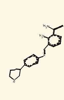 C=C(N)c1cccc(/C=N/c2ccc(C3CCCNC3)cc2)c1N